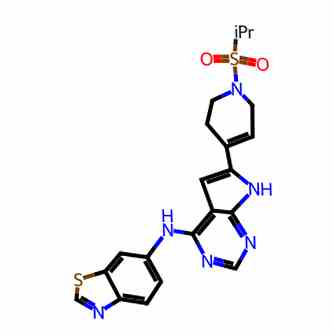 CC(C)S(=O)(=O)N1CC=C(c2cc3c(Nc4ccc5ncsc5c4)ncnc3[nH]2)CC1